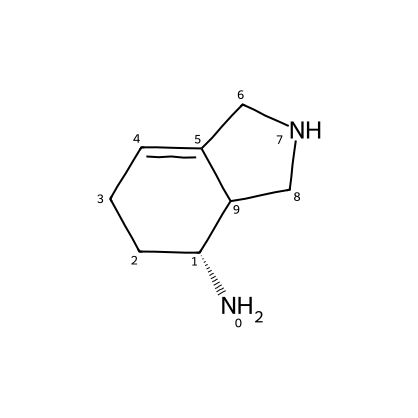 N[C@@H]1CCC=C2CNCC21